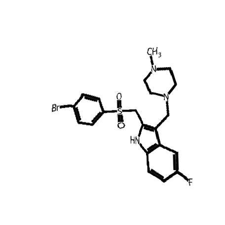 CN1CCN(Cc2c(CS(=O)(=O)c3ccc(Br)cc3)[nH]c3ccc(F)cc23)CC1